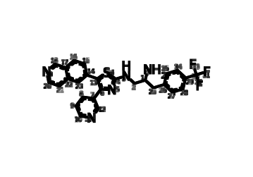 NC(CNc1nc(-c2cccnc2)c(-c2ccc3cnccc3c2)s1)Cc1ccc(C(F)(F)F)cc1